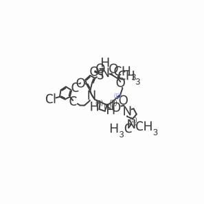 CN(C)[C@H]1CCN(C(=O)O[C@H]2/C=C/COC(C)(C)C(=O)NS(=O)(=O)c3ccc4c(c3)N(CCCCc3cc(Cl)ccc3CO4)C[C@@H]3CC[C@H]32)C1